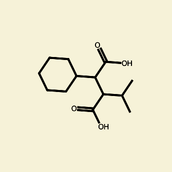 CC(C)C(C(=O)O)C(C(=O)O)C1CCCCC1